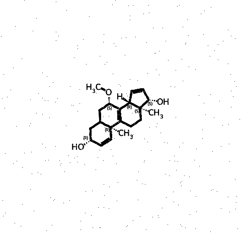 CO[C@H]1CC2C[C@@H](O)C=C[C@]2(C)C2=C1[C@@H]1C=C[C@H](O)[C@@]1(C)CC2